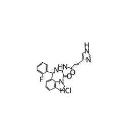 Cl.O=C(/C=C/c1c[nH]cn1)NC1N=C(c2ccccc2F)c2cccc3c2N(CC3)C1=O